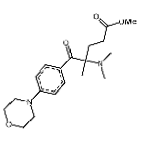 COC(=O)CCC(C)(C(=O)c1ccc(N2CCOCC2)cc1)N(C)C